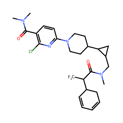 CN(C)C(=O)c1ccc(N2CCC(C3CC3CN(C)C(=O)C(C3C=CC=CC3)C(F)(F)F)CC2)nc1Cl